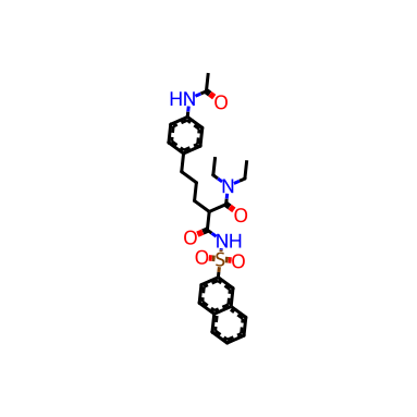 CCN(CC)C(=O)C(CCCc1ccc(NC(C)=O)cc1)C(=O)NS(=O)(=O)c1ccc2ccccc2c1